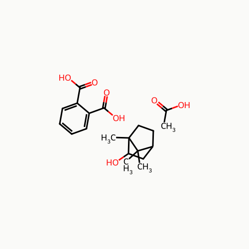 CC(=O)O.CC1(C)C2CCC1(C)C(O)C2.O=C(O)c1ccccc1C(=O)O